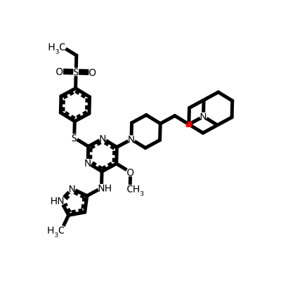 CCS(=O)(=O)c1ccc(Sc2nc(Nc3cc(C)[nH]n3)c(OC)c(N3CCC(CCN4C5CCCC4CCC5)CC3)n2)cc1